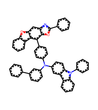 c1ccc(-c2cccc(N(c3ccc(-c4c5oc(-c6ccccc6)nc5cc5oc6ccccc6c45)cc3)c3ccc4c(c3)c3ccccc3n4-c3ccccc3)c2)cc1